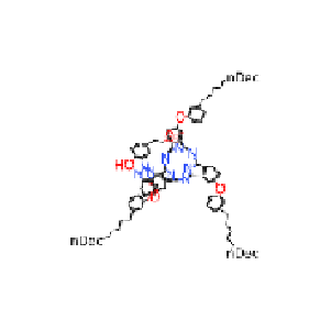 CCCCCCCCCCCCCCCc1cccc(Oc2ccc3c(c2)-c2nc-3nc3c4cc(Oc5cccc(CCCCCCCCCCCCCCC)c5)ccc4c(nc4c5ccc(Oc6cccc(CCCCCCCCCCCCCCC)c6)cc5c(n2)n4C)n3B(C)OCCc2ccc(O)c(-n3nc4ccccc4n3)c2)c1